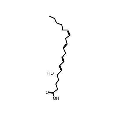 CCCCC/C=C\CC=CCC=C/C=C/[C@@H](O)CCCC(=O)O